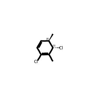 CC1=C(Cl)C=C[C@@H](C)[C@@H]1Cl